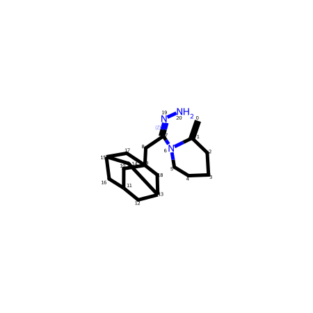 C=C1CCCCN1/C(CC12CC3CC(CC(C3)C1)C2)=N\N